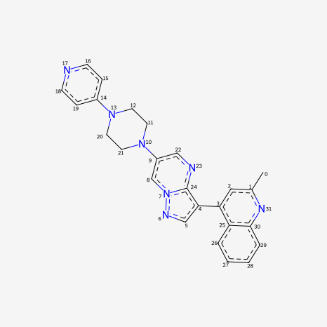 Cc1cc(-c2cnn3cc(N4CCN(c5ccncc5)CC4)cnc23)c2ccccc2n1